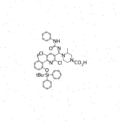 CC1CN(C(=O)O)CCN1C(=NC(=O)Nc1ccccc1)c1cc(Cl)c(-c2c(F)cccc2O[Si](c2ccccc2)(c2ccccc2)C(C)(C)C)nc1Cl